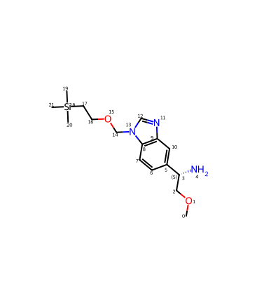 COC[C@@H](N)c1ccc2c(c1)ncn2COCC[Si](C)(C)C